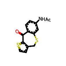 CC(=O)Nc1ccc2c(c1)SCc1ccsc1C2=O